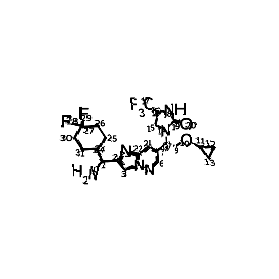 NC(c1cn2ncc([C@@H](COC3CC3)N3C[C@@H](C(F)(F)F)NC3=O)cc2n1)C1CCC(F)(F)CC1